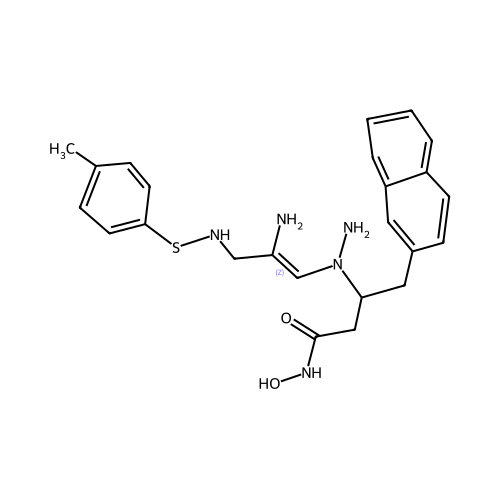 Cc1ccc(SNC/C(N)=C/N(N)C(CC(=O)NO)Cc2ccc3ccccc3c2)cc1